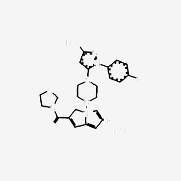 Cc1cc(N2CCN([N@@+]34C=CC=C3C=C(C(=O)N3CCSC3)C4)CC2)n(-c2ccc(F)cc2)n1.Cl.Cl.Cl